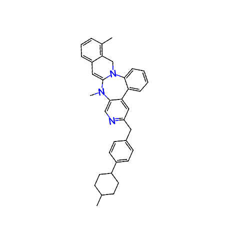 Cc1cccc2c1CN1C(=C2)N(C)c2cnc(Cc3ccc(C4CCC(C)CC4)cc3)cc2-c2ccccc21